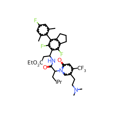 CCOC(=O)CC(NC(=O)C(CC(C)C)n1cc(CCN(C)C)c(C(F)(F)F)cc1=O)c1c(F)c2c(c(-c3c(C)cc(F)cc3C)c1F)CCC2